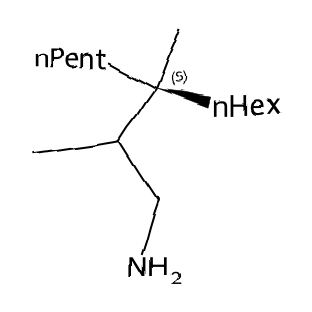 CCCCCC[C@](C)(CCCCC)C(C)CN